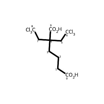 O=C(O)CCCC(CC(Cl)(Cl)Cl)(CC(Cl)(Cl)Cl)C(=O)O